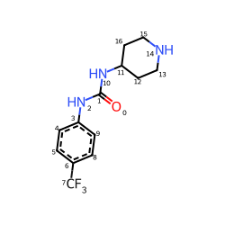 O=C(Nc1ccc(C(F)(F)F)cc1)NC1CCNCC1